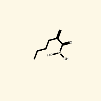 C=C(CCCC)C(=O)N(O)O